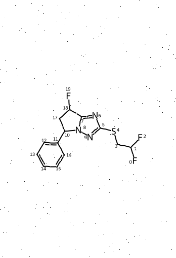 FC(F)CSc1nc2n(n1)C(c1ccccc1)CC2F